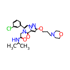 CC(C)NC(=O)Cn1c(-c2cccc(Cl)c2)cn2nc(OCCCN3CCOCC3)cc2c1=O